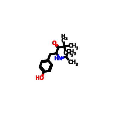 CC(C)NC(Cc1ccc(O)cc1)C(=O)C(C)(C)C